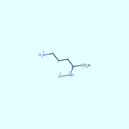 NCCCC(NCl)C(=O)O